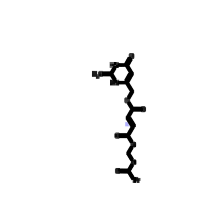 C=C1NC(=O)C=C(COC(=O)/C=C/C(=O)OCOC(=O)C(C)C)N1